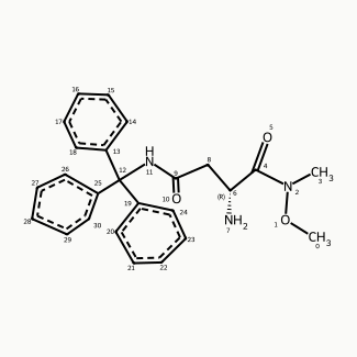 CON(C)C(=O)[C@H](N)CC(=O)NC(c1ccccc1)(c1ccccc1)c1ccccc1